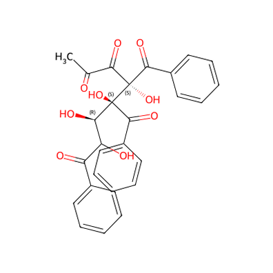 CC(=O)C(=O)[C@@](O)(C(=O)c1ccccc1)[C@](O)(C(=O)c1ccccc1)[C@H](O)C(O)C(=O)c1ccccc1